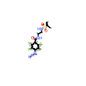 C=C(C)S(=O)(=O)NCCNC(=O)c1c(F)c(F)c(N=[N+]=[N-])c(F)c1F